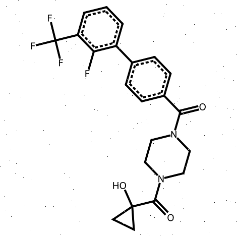 O=C(c1ccc(-c2cccc(C(F)(F)F)c2F)cc1)N1CCN(C(=O)C2(O)CC2)CC1